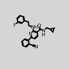 N#Cc1ccccc1-c1ccc(C(=O)NCC2CC2)c(NCCc2cccc(F)c2)n1